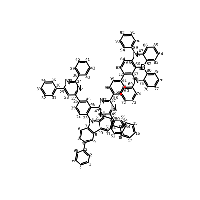 c1ccc(-c2ccc3c(c2)c2cc(-c4ccccc4)ccc2n3-c2ccc(-c3cc(-c4ccccc4)nc(-c4ccccc4)n3)cc2-c2nc(-c3ccccc3)nc(-c3ccc(-c4ccc5c6c4N(c4ccccc4)c4ccccc4B6c4ccccc4N5c4ccccc4)cc3)n2)cc1